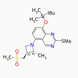 CSc1ncc2c(N3C[C@H](CS(C)(=O)=O)[C@H]3C)ccc(O[Si](C)(C)C(C)(C)C)c2n1